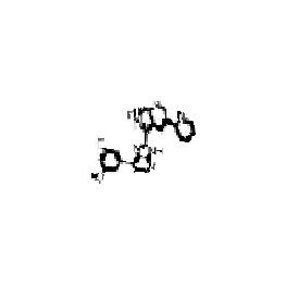 COc1cc(F)cc(-c2ccnc3[nH]c(-c4n[nH]c5ncc(-c6ccccn6)cc45)nc23)c1